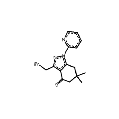 CC(C)Cc1nn(-c2ccccn2)c2c1C(=O)CC(C)(C)C2